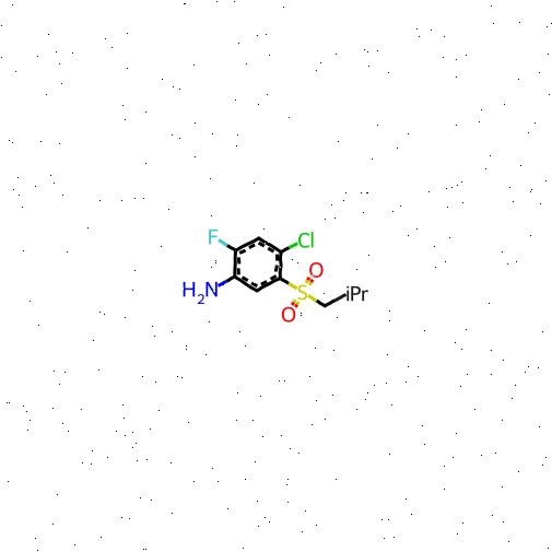 CC(C)CS(=O)(=O)c1cc(N)c(F)cc1Cl